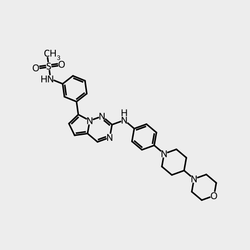 CS(=O)(=O)Nc1cccc(-c2ccc3cnc(Nc4ccc(N5CCC(N6CCOCC6)CC5)cc4)nn23)c1